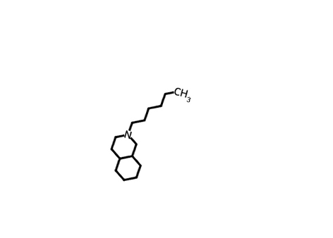 CCCCCCN1CCC2CCCCC2C1